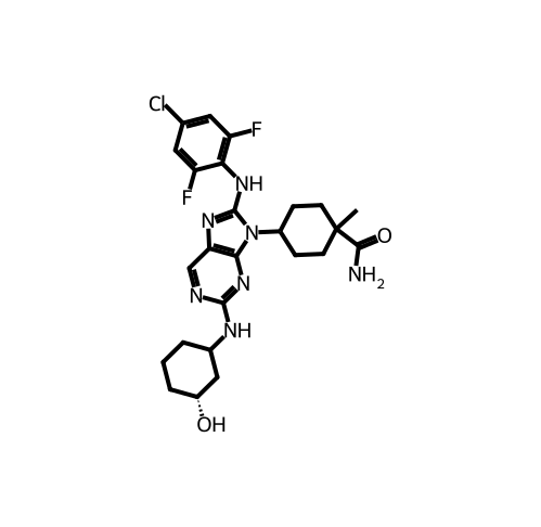 CC1(C(N)=O)CCC(n2c(Nc3c(F)cc(Cl)cc3F)nc3cnc(NC4CCC[C@@H](O)C4)nc32)CC1